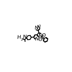 CC(C)C1(N)CCC(c2cnc3c(c2)c(-c2cnn(C)c2)cn3S(=O)(=O)c2ccccc2)CC1